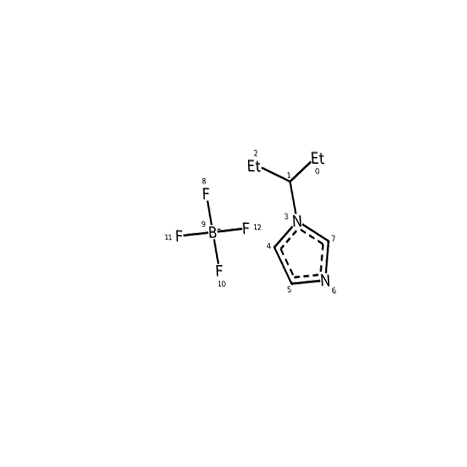 CCC(CC)n1ccnc1.F[B-](F)(F)F